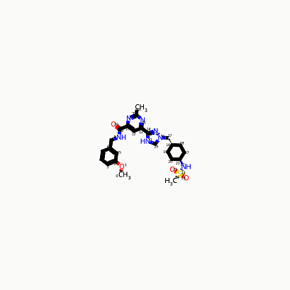 COc1cccc(CNC(=O)c2cc(C3=NN(C[C@H]4CC[C@H](NS(C)(=O)=O)CC4)CN3)nc(C)n2)c1